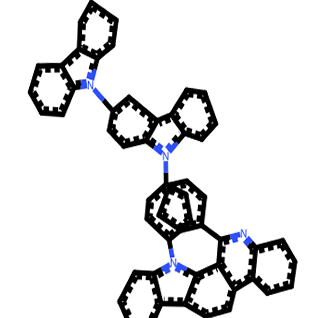 c1ccc(-c2nc3ccccc3c3ccc4c5ccccc5n(-c5ccc(-n6c7ccccc7c7cc(-n8c9ccccc9c9ccccc98)ccc76)cc5)c4c23)cc1